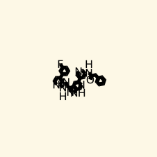 O=C(Cc1ccccc1)Nc1cncc(-c2cc3c(-c4nc5c(-c6cccc(F)c6)ccnc5[nH]4)n[nH]c3cn2)c1